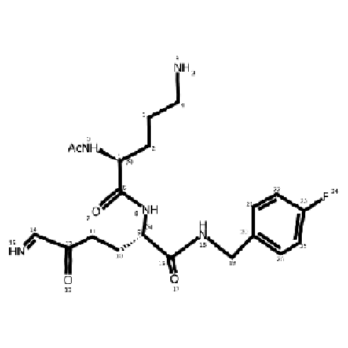 CC(=O)N[C@@H](CCCN)C(=O)N[C@@H](CCC(=O)C=N)C(=O)NCc1ccc(F)cc1